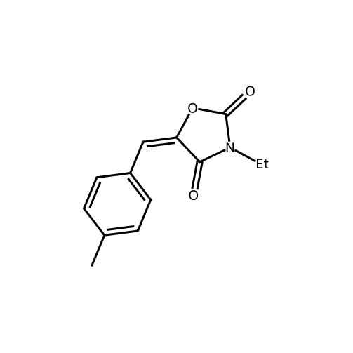 CCN1C(=O)O/C(=C/c2ccc(C)cc2)C1=O